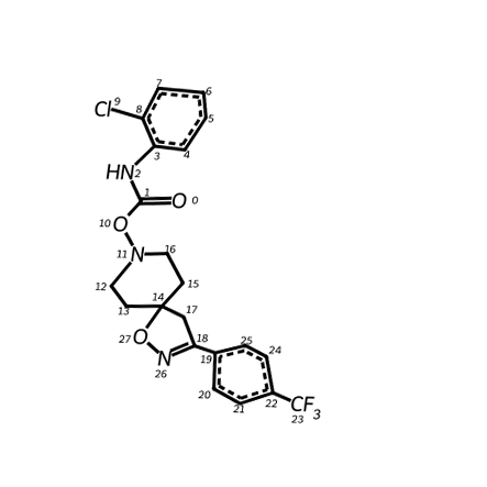 O=C(Nc1ccccc1Cl)ON1CCC2(CC1)CC(c1ccc(C(F)(F)F)cc1)=NO2